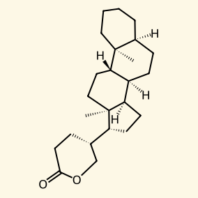 C[C@]12CC[C@H]3[C@@H](CC[C@@H]4CCCC[C@@]43C)[C@H]1CC[C@@H]2[C@H]1CCC(=O)OC1